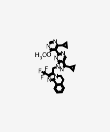 COc1ncnc(C2CC2)c1-c1ncc2c(C3CC3)nn(Cc3c(C(F)(F)F)nc4n3CCc3ccccc3-4)c2n1